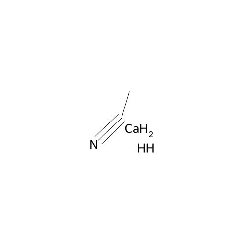 CC#N.[CaH2].[HH]